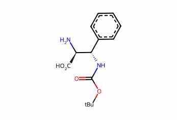 CC(C)(C)OC(=O)N[C@@H](c1ccccc1)[C@H](N)C(=O)O